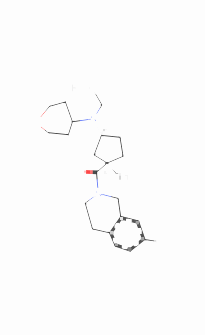 CC(C)[C@]1(C(=O)N2CCc3ccc(C(F)(F)F)cc3C2)CC[C@@H](N(CC(=O)O)C2CCOCC2)C1